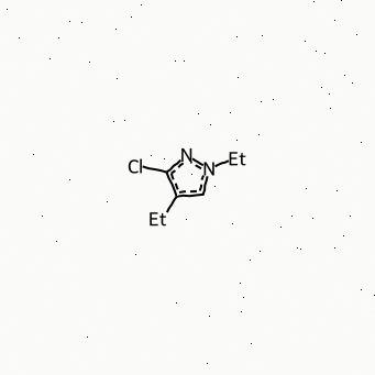 CCc1cn(CC)nc1Cl